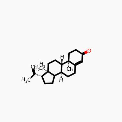 C=C(C)[C@H]1CCC2[C@@H]3CCC4=CC(=O)CC[C@]4(C)[C@H]3CC[C@@]21C